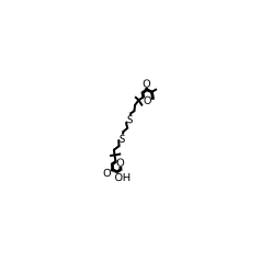 Cc1coc(C(C)(C)CCCSCCCSCCCC(C)(C)c2cc(=O)c(O)co2)cc1=O